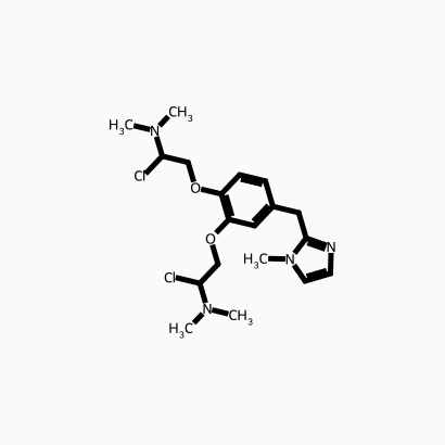 CN(C)C(Cl)COc1ccc(Cc2nccn2C)cc1OCC(Cl)N(C)C